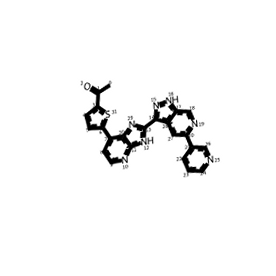 CC(=O)c1ccc(-c2ccnc3[nH]c(-c4n[nH]c5cnc(-c6cccnc6)cc45)nc23)s1